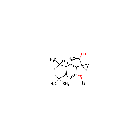 CCOc1cc2c(cc1C1(C(C)O)CC1)C(C)(C)CCC2(C)C